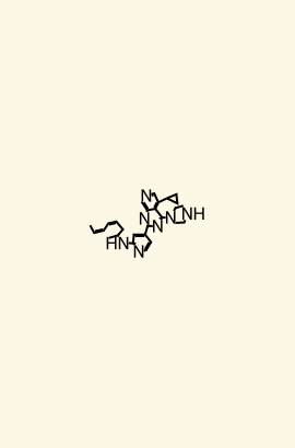 C/C=C\C=C/CC(C)Nc1cc(-c2nc(N3CCNCC3)c3c(C4CC4)cncc3n2)ccn1